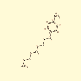 CCCCOCCCOc1ccc(N)cc1